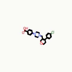 O=C(O)c1ccc(N2CCN(CC3=C(c4ccc(Cl)cc4)CCOC3)CC2)cc1